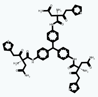 NC(=O)C[C@@](N)(C(=O)Cc1ccsc1)C(=O)Nc1ccc(C(c2ccc(NC(=O)[C@@](N)(CC(N)=O)C(=O)Cc3ccsc3)cc2)c2ccc(NC(=O)[C@@](N)(CC(N)=O)C(=O)Cc3ccsc3)cc2)cc1